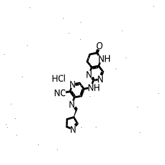 Cl.N#Cc1ncc(Nc2ncc3c(n2)CCC(=O)N3)cc1N=C[C@H]1C=NCC1